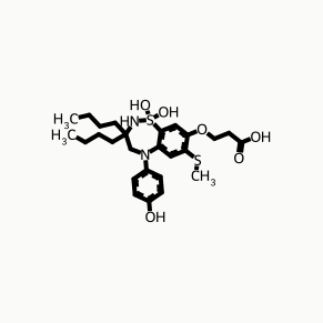 CCCCC1(CCCC)CN(c2ccc(O)cc2)c2cc(SC)c(OCCC(=O)O)cc2S(O)(O)N1